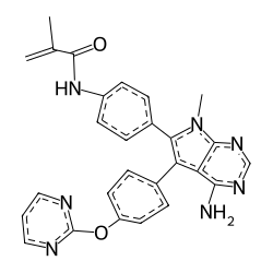 C=C(C)C(=O)Nc1ccc(-c2c(-c3ccc(Oc4ncccn4)cc3)c3c(N)ncnc3n2C)cc1